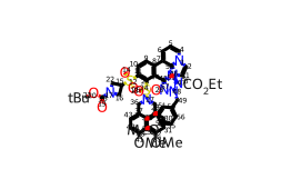 CCOC(=O)c1cn2cccc(-c3ccc(S(=O)(=O)C4CN(C(=O)OC(C)(C)C)C4)c(S(=O)(=O)N(Cc4ccc(OC)cc4)Cc4ccc(OC)cc4)c3-c3nnn(Cc4ccc(OC)cc4)n3)c2n1